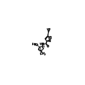 CN1C[C@H](NC(=O)c2cc(C3CC3)on2)[C@@H](O)C1